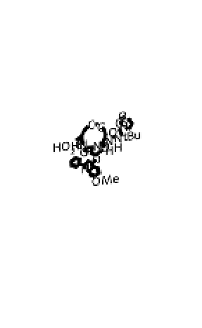 COc1ccc2c(O[C@@H]3C[C@H]4C(=O)N[C@]5(C(=O)O)CC5/C=C\CCCCC[C@H](NC(=O)NC(CN5CCCS5(=O)=O)C(C)(C)C)C(=O)N4C3)cc(-c3ccccc3)nc2c1